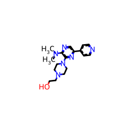 CN(C)c1ncc(-c2ccncc2)nc1N1CCN(CCO)CC1